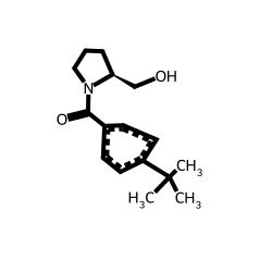 CC(C)(C)c1ccc(C(=O)N2CCC[C@H]2CO)cc1